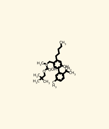 C=C(C)c1ccc(C)cc1-c1c(O)cc(CCCCC)c(CN(C)C(=O)OCC(C)(C)C)c1O